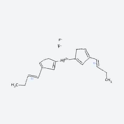 CC/C=C/C1=CC[C]([Hf+2][C]2=CC(/C=C/CC)=CC2)=C1.[F-].[F-]